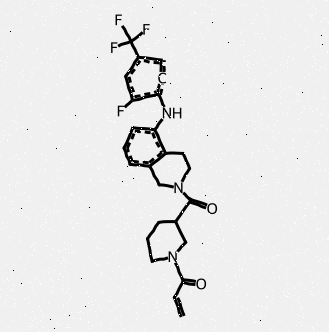 C=CC(=O)N1CCCC(C(=O)N2CCc3c(cccc3Nc3ccc(C(F)(F)F)cc3F)C2)C1